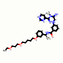 CC(=O)COCCCOCCCCCOc1cccc([C@H](C)NC(=O)c2cccc(NCC(=N)N(C)C(=N)c3ccncn3)c2)c1